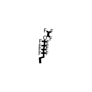 C=CCC(F)(F)C(F)(F)C(F)(F)C(F)(F)OC(F)=C(F)F